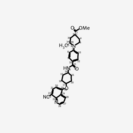 COC(=O)[C@@H]1CCN(c2ccc(C(=O)NC3CCC(Oc4ccc(C#N)c5ncccc45)CC3)cc2)[C@H](C)C1